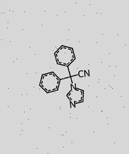 N#CC(c1ccccc1)(c1ccccc1)n1ccnc1